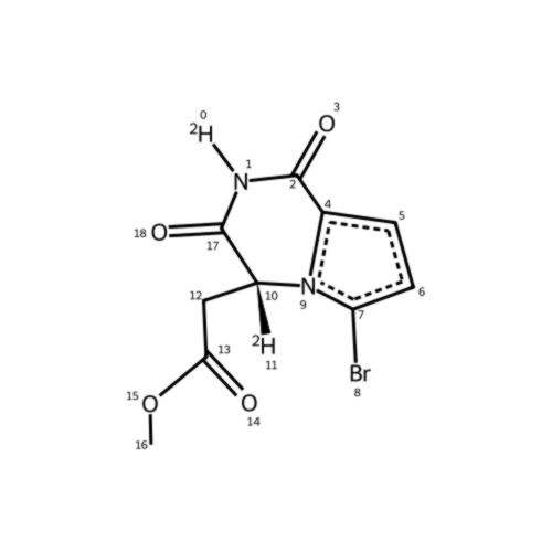 [2H]N1C(=O)c2ccc(Br)n2[C@]([2H])(CC(=O)OC)C1=O